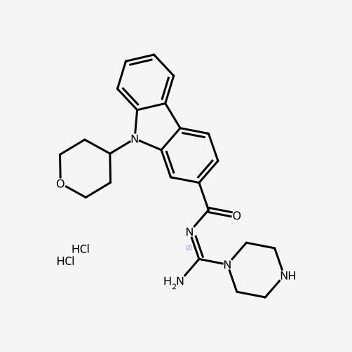 Cl.Cl.N/C(=N/C(=O)c1ccc2c3ccccc3n(C3CCOCC3)c2c1)N1CCNCC1